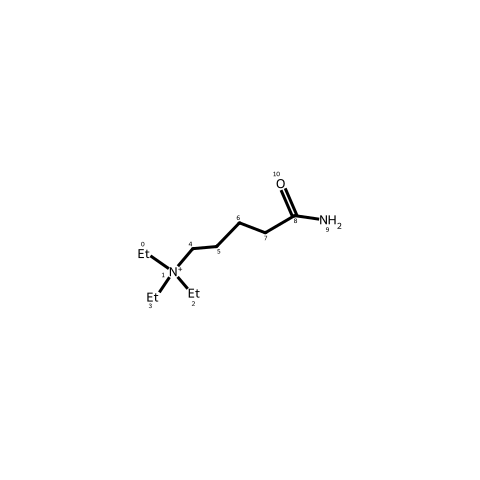 CC[N+](CC)(CC)CCCCC(N)=O